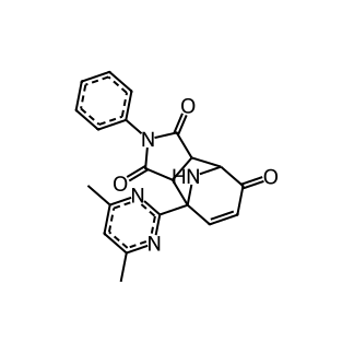 Cc1cc(C)nc(C23C=CC(=O)C(N2)C2C(=O)N(c4ccccc4)C(=O)C23)n1